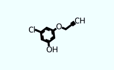 C#CCOc1cc(O)cc(Cl)c1